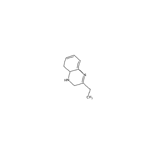 CCC1=NC2=CC=CCC2NC1